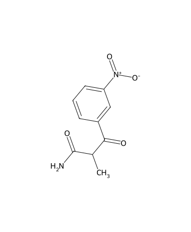 CC(C(N)=O)C(=O)c1cccc([N+](=O)[O-])c1